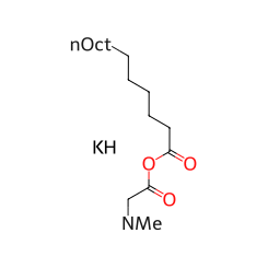 CCCCCCCCCCCCCC(=O)OC(=O)CNC.[KH]